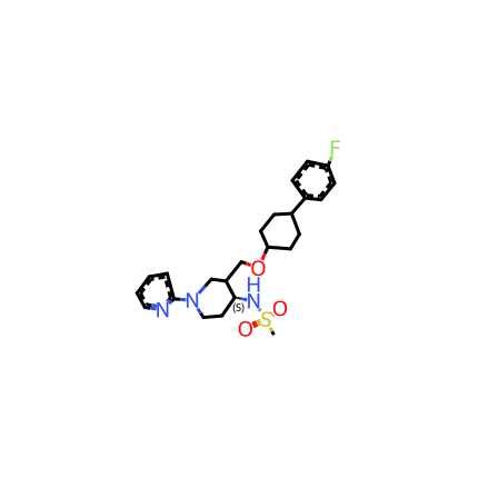 CS(=O)(=O)N[C@H]1CCN(c2ccccn2)CC1COC1CCC(c2ccc(F)cc2)CC1